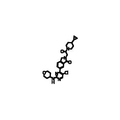 O=C(CN1Cc2ccc(-c3nc(NC4CCOCC4)ncc3Cl)cc2C1=O)N1CCC(C2CC2)CC1